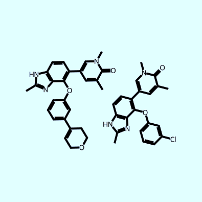 Cc1nc2c(Oc3cccc(C4=CCOCC4)c3)c(-c3cc(C)c(=O)n(C)c3)ccc2[nH]1.Cc1nc2c(Oc3cccc(Cl)c3)c(-c3cc(C)c(=O)n(C)c3)ccc2[nH]1